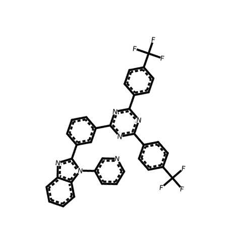 FC(F)(F)c1ccc(-c2nc(-c3ccc(C(F)(F)F)cc3)nc(-c3cccc(-c4nc5ccccc5n4-c4cccnc4)c3)n2)cc1